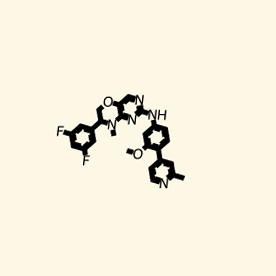 COc1cc(Nc2ncc3c(n2)N(C)C(c2cc(F)cc(F)c2)CO3)ccc1-c1ccnc(C)c1